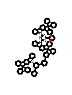 c1ccc(-c2cc(-c3cccc(-c4ccc(C5(c6ccccc6)c6ccccc6-c6c5ccc5c7ccccc7n(-c7nc(-c8ccccc8)nc(-n8c9ccccc9c9ccc%10c(c98)-c8ccccc8C%10(c8ccccc8)c8ccccc8)n7)c65)cc4)c3)cc(-n3c4ccccc4c4cc5c(cc43)C(c3ccccc3)(c3ccccc3)c3ccccc3-5)c2)cc1